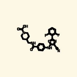 N#Cc1nc(-c2c(F)cccc2F)oc1Nc1ccc(C(=O)NCC2CCN(C(=O)O)CC2)cc1